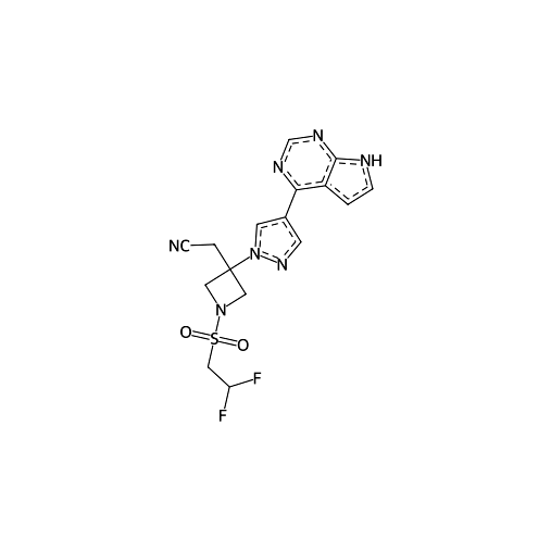 N#CCC1(n2cc(-c3ncnc4[nH]ccc34)cn2)CN(S(=O)(=O)CC(F)F)C1